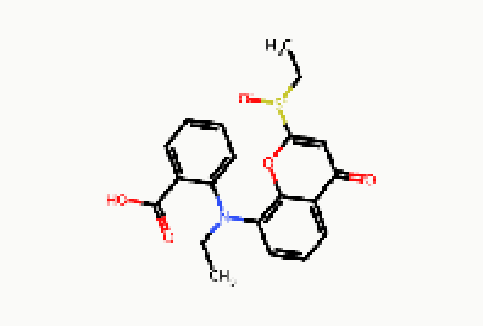 CCN(c1ccccc1C(=O)O)c1cccc2c(=O)cc([S+]([O-])CC)oc12